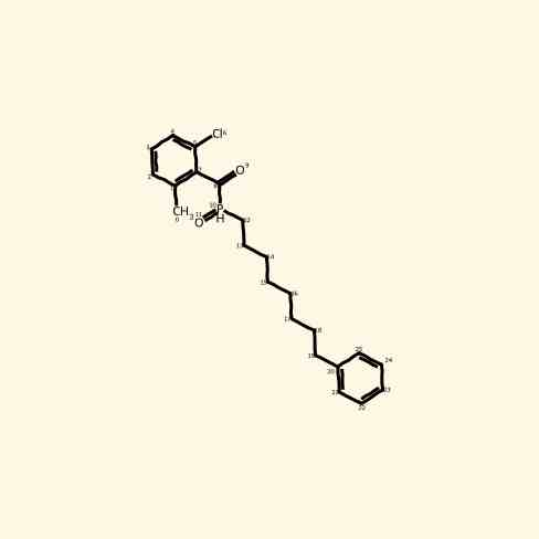 Cc1cccc(Cl)c1C(=O)[PH](=O)CCCCCCCCc1ccccc1